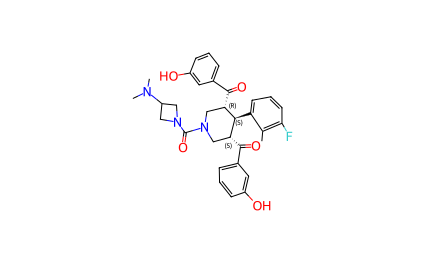 Cc1c(F)cccc1[C@@H]1[C@@H](C(=O)c2cccc(O)c2)CN(C(=O)N2CC(N(C)C)C2)C[C@H]1C(=O)c1cccc(O)c1